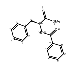 COC(=O)[C@H](Cc1ccncc1)NC(=O)c1ccccc1